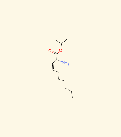 CCCCCC/C=C\C(N)C(=O)OC(C)C